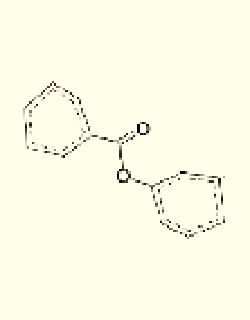 O=C(Oc1[c]cc[c]c1)c1ccccc1